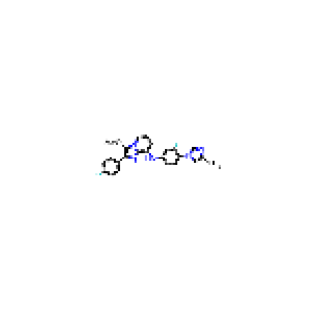 COc1c(-c2ccc(F)cc2)nc2c(Nc3ccc(-n4cnc(C)c4)c(F)c3)cccn12